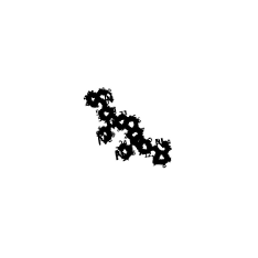 C1=C(c2nccc3ccccc23)CCc2c1c1cc3c(cc1n2-c1ccncc1)-c1cc2c(cc1CC3)c1cc(-c3nccc4ccccc34)ccc1n2-c1ccncc1